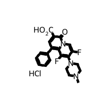 CN1CCN(c2c(F)cn3c(=O)c(C(=O)O)cc(-c4ccccc4)c3c2F)CC1.Cl